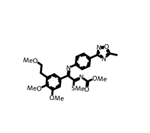 COCCc1cc(C(=N/c2ccc(-c3noc(C)n3)cc2)/C(=N/C(=O)OC)SC)cc(OC)c1OC